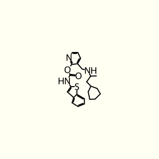 CC(CC1CCCCC1)NCc1cccnc1OC(=O)Nc1cc2ccccc2s1